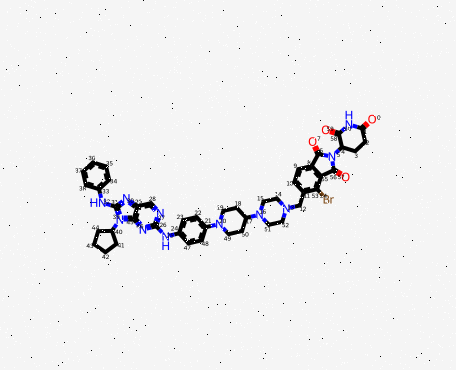 O=C1CCC(N2C(=O)c3ccc(CN4CCN(C5CCN(c6ccc(Nc7ncc8nc(Nc9ccccc9)n(C9CCCC9)c8n7)cc6)CC5)CC4)c(Br)c3C2=O)C(=O)N1